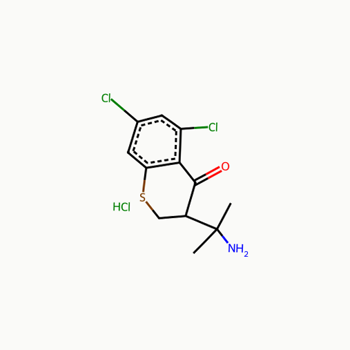 CC(C)(N)C1CSc2cc(Cl)cc(Cl)c2C1=O.Cl